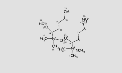 C[N+](C)(C)C(O)CCCO.C[N+](C)(C)C(O)CCCO.[OH-].[OH-]